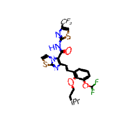 CC(C)CCOc1c(C=Cc2nc3sccn3c2C(=O)Nc2nc(C(F)(F)F)cs2)cccc1OC(F)F